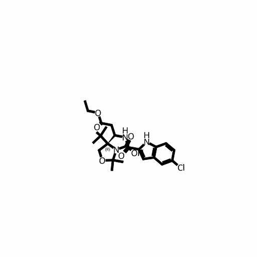 CCOC(=O)CC(NC(=O)c1cc2cc(Cl)ccc2[nH]1)[C@]1(C(C)(C)C)COC(C)(C)N1C(=O)O